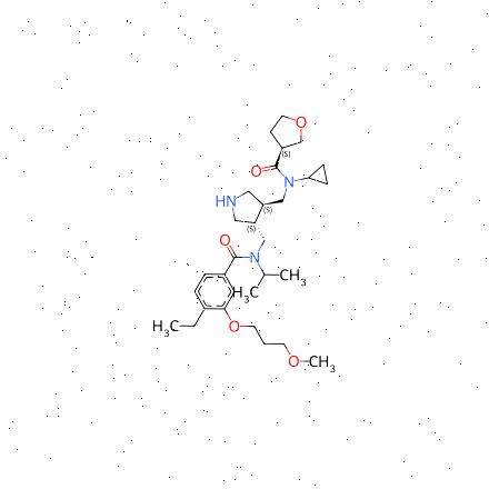 CCc1ccc(C(=O)N(C[C@@H]2CNC[C@H]2CN(C(=O)[C@H]2CCOC2)C2CC2)C(C)C)cc1OCCCOC